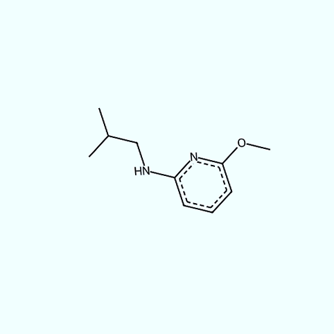 COc1cccc(NCC(C)C)n1